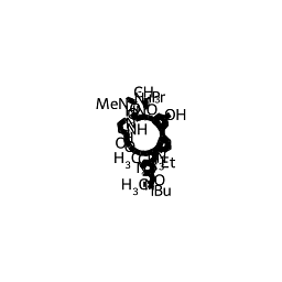 CCC(C)N(C)C(=O)c1cncc(-c2c3c4cc(ccc4n2CC)-c2cc(O)cc(c2)C[C@H](NC(=O)[C@H](C(C)C)N(C)C(=O)CNC)C(=O)N2CCC[C@H](N2)C(=O)OCC(C)(C)C3)c1